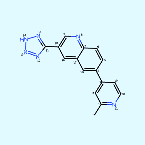 Cc1cc(-c2ccc3ncc(-c4nn[nH]n4)cc3c2)ccn1